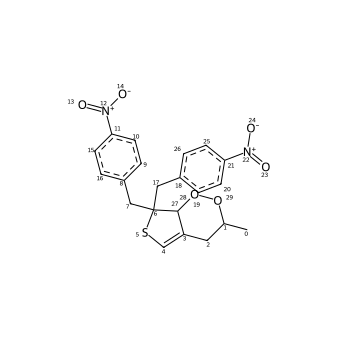 CC1CC2=CSC(Cc3ccc([N+](=O)[O-])cc3)(Cc3ccc([N+](=O)[O-])cc3)C2OO1